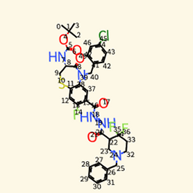 CC(C)(C)OC(=O)N[C@H]1CSc2cc(F)c(C(=O)NNC(=O)C3CN(Cc4ccccc4)CCC3(F)F)cc2N(Cc2ccc(Cl)cc2)C1=O